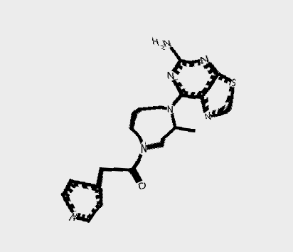 CC1CN(C(=O)Cc2ccncc2)CCN1c1nc(N)nc2scnc12